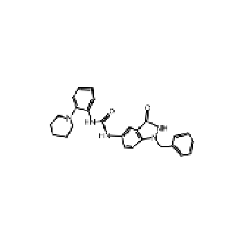 O=C(Nc1ccc2c(c1)c(=O)[nH]n2Cc1ccccc1)Nc1ccccc1N1CCCCC1